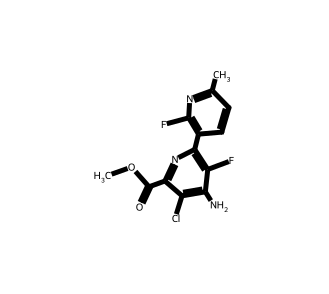 COC(=O)c1nc(-c2ccc(C)nc2F)c(F)c(N)c1Cl